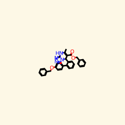 CC1=C(C(=O)OCc2ccccc2)C(c2ccccc2-c2ccc(OCc3ccccc3)cc2)n2nnnc2N1